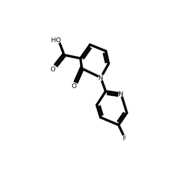 O=C(O)c1cccn(-c2ccc(F)cn2)c1=O